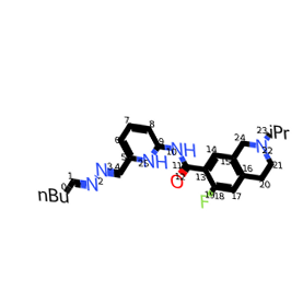 CCCC/C=N/N=C/C1=CC=CC(NC(=O)c2cc3c(cc2F)CCN(C(C)C)C3)N1